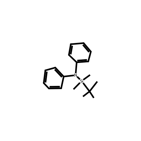 CC(C)(C)[Si](C)(C)N(c1ccccc1)c1ccccc1